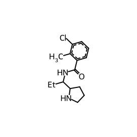 CCC(NC(=O)c1cccc(Cl)c1C)C1CCCN1